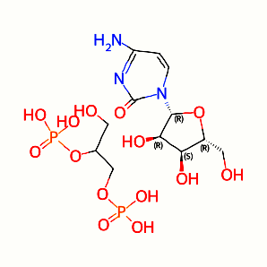 Nc1ccn([C@@H]2O[C@H](CO)[C@@H](O)[C@H]2O)c(=O)n1.O=P(O)(O)OCC(CO)OP(=O)(O)O